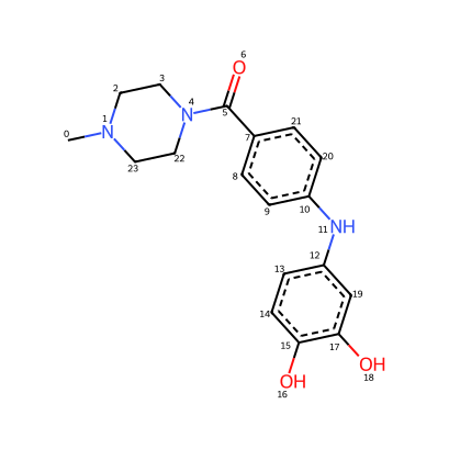 CN1CCN(C(=O)c2ccc(Nc3ccc(O)c(O)c3)cc2)CC1